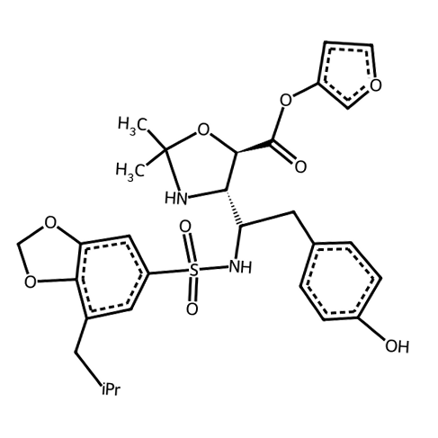 CC(C)Cc1cc(S(=O)(=O)NC(Cc2ccc(O)cc2)[C@@H]2NC(C)(C)O[C@H]2C(=O)Oc2ccoc2)cc2c1OCO2